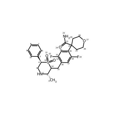 C[C@@H]1NC[C@@H](c2ccccc2)S(=O)(=O)C1Cc1cc(F)c(C2(C(N)=O)CCOCC2)cc1F